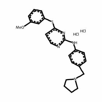 COc1cccc(Sc2ccnc(Nc3ccc(CN4CCCC4)cc3)n2)c1.Cl.Cl